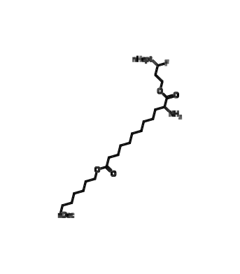 CCCCCCCCCCCCCCCCOC(=O)CCCCCCCCCC(N)C(=O)OCCC(F)CCCCCCC